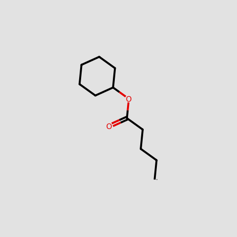 [CH2]CCCC(=O)OC1CCCCC1